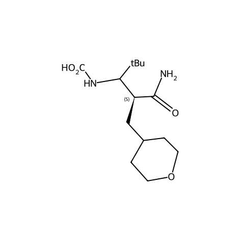 CC(C)(C)C(NC(=O)O)[C@H](CC1CCOCC1)C(N)=O